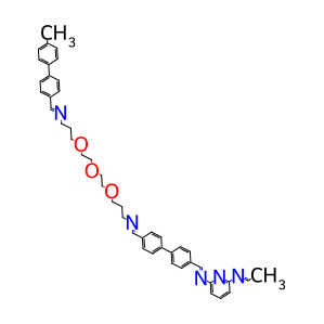 CC=Nc1cccc(N=Cc2ccc(-c3ccc(C=NCCCOCCOCCOCCCN=Cc4ccc(-c5ccc(C)cc5)cc4)cc3)cc2)n1